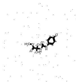 COC(=O)C(C)(C)NC(=O)Nc1ccc(Cl)cc1